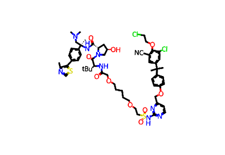 Cc1ncsc1-c1ccc([C@@](C)(CN(C)C)NC(=O)[C@@H]2C[C@@H](O)CN2C(=O)[C@@H](NC(=O)COCCCCCOCCS(=O)(=O)Nc2nccc(COc3ccc(C(C)(C)c4cc(Cl)c(OCCCl)c(C#N)c4)cc3)n2)C(C)(C)C)cc1